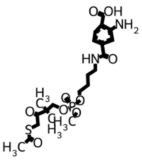 COP(=O)(OCCCCNC(=O)c1ccc(C(=O)O)c(N)c1)OCC(C)(C)C(=O)CSC(C)=O